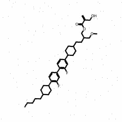 C=C(CO)C(=O)OCC(CCC1CCC(c2ccc(-c3ccc(C4CCC(CCCCC)CC4)c(F)c3)c(F)c2)CC1)COC